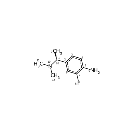 C[C@@H](c1ccc(N)c(F)c1)N(C)C